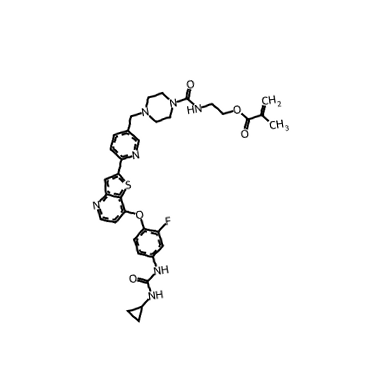 C=C(C)C(=O)OCCNC(=O)N1CCN(Cc2ccc(-c3cc4nccc(Oc5ccc(NC(=O)NC6CC6)cc5F)c4s3)nc2)CC1